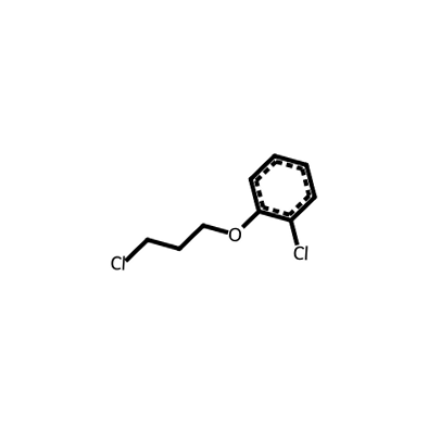 ClCCCOc1ccccc1Cl